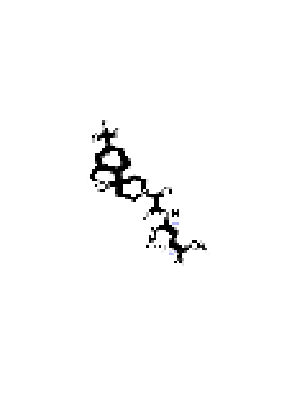 C=N/C(=C\C=C(/C)Cl)NC(=O)C(=O)N1CCC2(CC1)OCc1cc(C(F)(F)F)ccc12